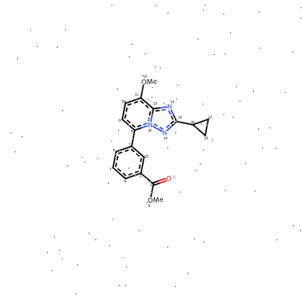 COC(=O)c1cccc(-c2ccc(OC)c3nc(C4CC4)nn23)c1